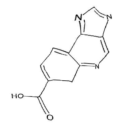 O=C(O)C1=CC=c2c(ncc3c2=NC=N3)C1